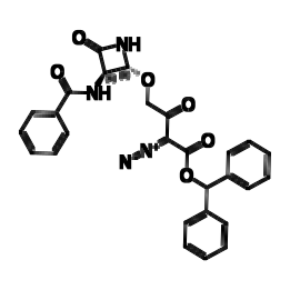 [N-]=[N+]=C(C(=O)CO[C@H]1NC(=O)[C@@H]1NC(=O)c1ccccc1)C(=O)OC(c1ccccc1)c1ccccc1